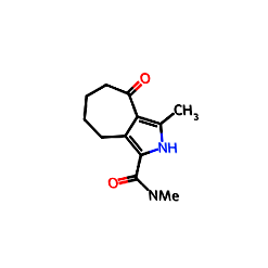 CNC(=O)c1[nH]c(C)c2c1CCCCC2=O